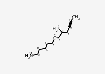 CC#CCC(N)COCCCCCN